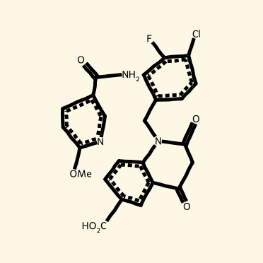 COc1ccc(C(N)=O)cn1.O=C(O)c1ccc2c(c1)C(=O)CC(=O)N2Cc1ccc(Cl)c(F)c1